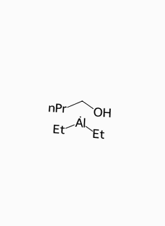 CCCCO.C[CH2][Al][CH2]C